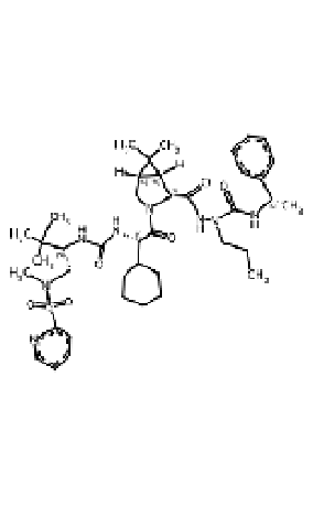 CCCN(NC(=O)[C@@H]1[C@@H]2[C@H](CN1C(=O)[C@@H](NC(=O)N[C@H](CN(C)S(=O)(=O)c1ccccn1)C(C)(C)C)C1CCCCC1)C2(C)C)C(=O)N[C@@H](C)c1ccccc1